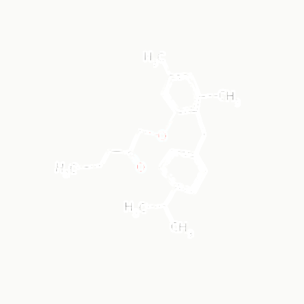 CCCC(=O)COc1cc(C)cc(C)c1Cc1ccc(C(C)C)cc1